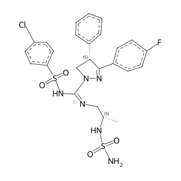 C[C@@H](C/N=C(/NS(=O)(=O)c1ccc(Cl)cc1)N1C[C@H](c2ccccc2)C(c2ccc(F)cc2)=N1)NS(N)(=O)=O